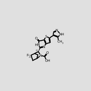 Cc1[nH]ncc1-c1cc2nc([C@@H]3C4CC(C[C@@H]4F)N3C(=O)O)[nH]c(=O)c2s1